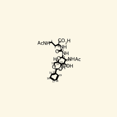 CC(=O)NCC[C@H](NC(=O)NC1O[C@@H]2COC(c3ccccc3)O[C@H]2[C@H](O)[C@H]1NC(C)=O)C(=O)O